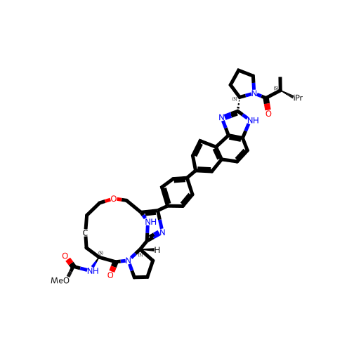 COC(=O)N[C@H]1CCCCOCc2[nH]c(nc2-c2ccc(-c3ccc4c(ccc5[nH]c([C@@H]6CCCN6C(=O)[C@@H](C)C(C)C)nc54)c3)cc2)[C@@H]2CCCN2C1=O